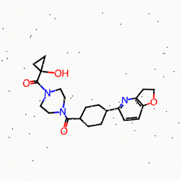 O=C(C1CCC(c2ccc3c(n2)CCO3)CC1)N1CCN(C(=O)C2(O)CC2)CC1